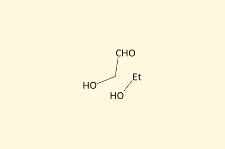 CCO.O=CCO